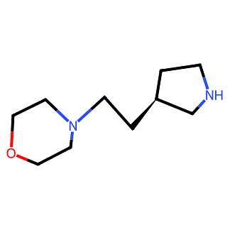 C1C[C@H](CCN2CCOCC2)CN1